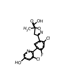 CC1(C(=O)O)CC(c2cc(-c3ncc(O)cc3Cl)c(F)cc2Cl)=NO1